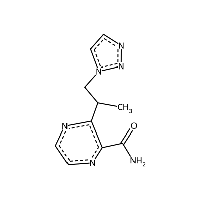 CC(Cn1ccnn1)c1nccnc1C(N)=O